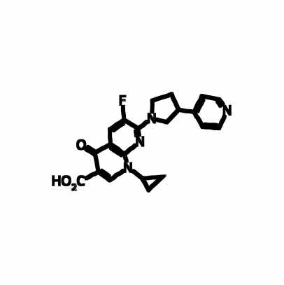 O=C(O)c1cn(C2CC2)c2nc(N3CCC(c4ccncc4)C3)c(F)cc2c1=O